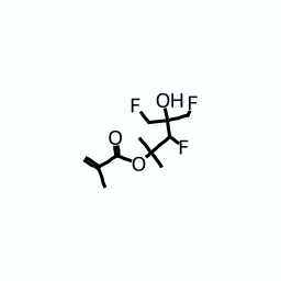 C=C(C)C(=O)OC(C)(C)C(F)C(O)(CF)CF